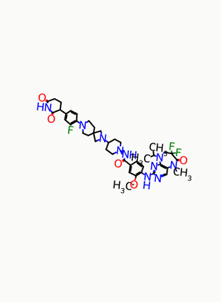 COc1cc(C(=O)NN2CCC(N3CC4(CCN(c5ccc(C6CCC(=O)NC6=O)cc5F)CC4)C3)CC2)ccc1Nc1ncc2c(n1)N(C(C)C)CC(F)(F)C(=O)N2C